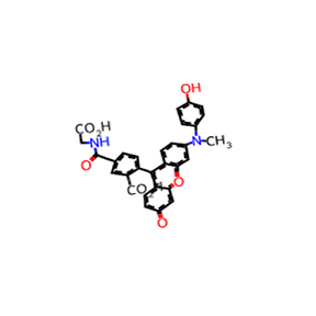 CN(c1ccc(O)cc1)c1ccc2c(-c3ccc(C(=O)NCC(=O)O)cc3C(=O)O)c3ccc(=O)cc-3oc2c1